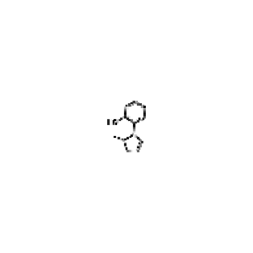 CC1CC=CC1c1ccccc1O